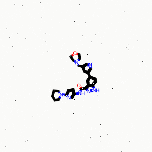 O=C(Nc1ccc(N2CCCCC2)nc1)c1n[nH]c2ccc(-c3cncc(CN4CCOCC4)c3)cc12